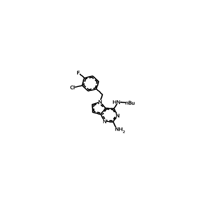 CCCCNc1nc(N)nc2ccn(Cc3ccc(F)c(Cl)c3)c12